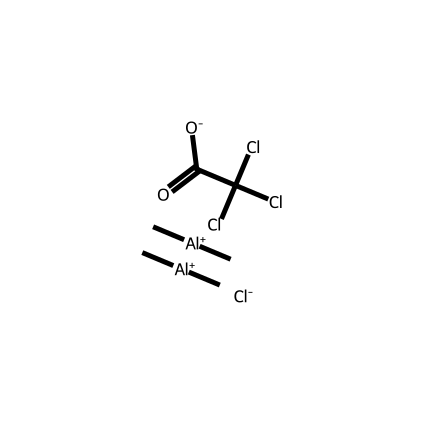 O=C([O-])C(Cl)(Cl)Cl.[CH3][Al+][CH3].[CH3][Al+][CH3].[Cl-]